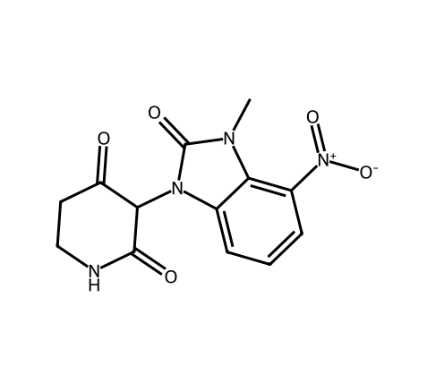 Cn1c(=O)n(C2C(=O)CCNC2=O)c2cccc([N+](=O)[O-])c21